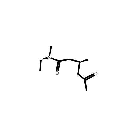 CON(C)C(=O)C[C@@H](C)CC(C)=O